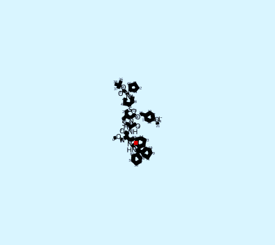 CO/N=C(\C(=O)N[C@@H]1C(=O)N2C(C(=O)OCc3ccc(OC)cc3)=C(CSc3cc[n+](N(C(=O)OC(C)(C)C)C4CCCC4)cc3)CS[C@H]12)c1csc(NC(c2ccccc2)(c2ccccc2)c2ccccc2)n1.[I-]